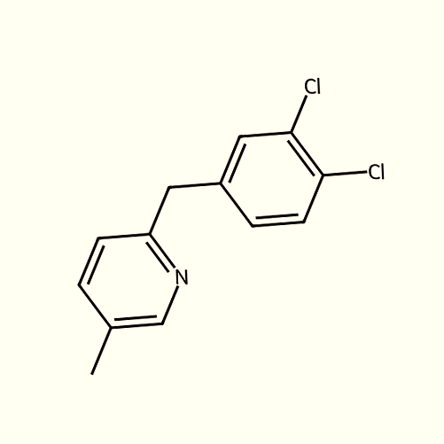 Cc1ccc(Cc2ccc(Cl)c(Cl)c2)nc1